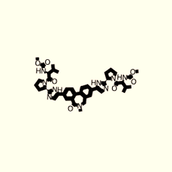 COC(=O)N[C@H](C(=O)N1CCC[C@H]1c1ncc(-c2ccc3c(c2)CN(C)C(=O)c2cc(-c4cnc([C@@H]5CCCN5C(=O)[C@@H](NC(=O)OC)C(C)C)[nH]4)ccc2-3)[nH]1)C(C)C